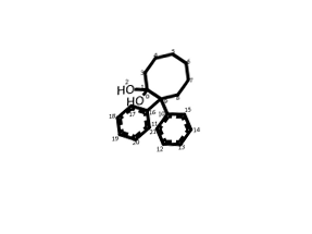 OC1(O)CCCCCCC1(c1ccccc1)c1ccccc1